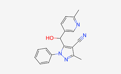 Cc1ccc(C(O)c2c(C#N)c(C)nn2-c2ccccc2)cn1